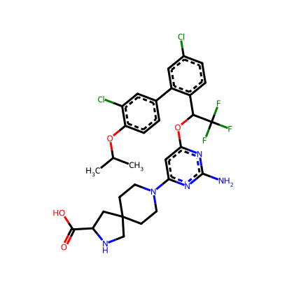 CC(C)Oc1ccc(-c2cc(Cl)ccc2C(Oc2cc(N3CCC4(CC3)CNC(C(=O)O)C4)nc(N)n2)C(F)(F)F)cc1Cl